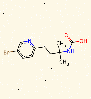 CC(C)(CCc1ccc(Br)cn1)NC(=O)O